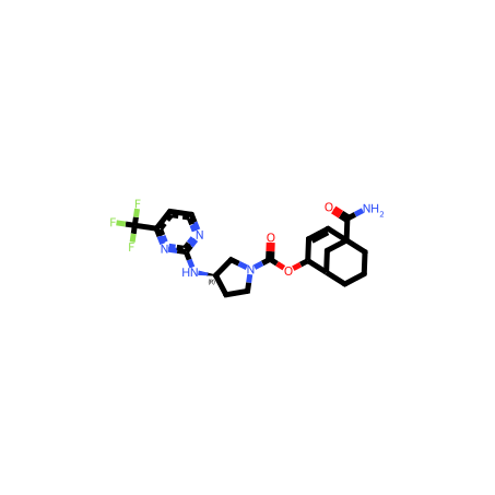 NC(=O)C12C=CC(OC(=O)N3CC[C@@H](Nc4nccc(C(F)(F)F)n4)C3)C(CCC1)C2